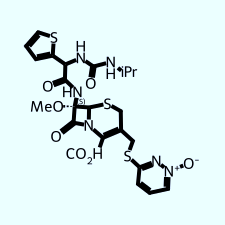 CO[C@@]1(NC(=O)C(NC(=O)NC(C)C)c2cccs2)C(=O)N2C(C(=O)O)=C(CSc3ccc[n+]([O-])n3)CSC21